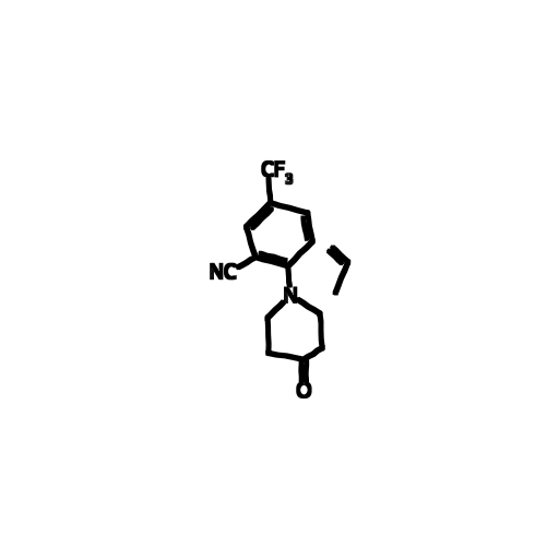 C=CC.N#Cc1cc(C(F)(F)F)ccc1N1CCC(=O)CC1